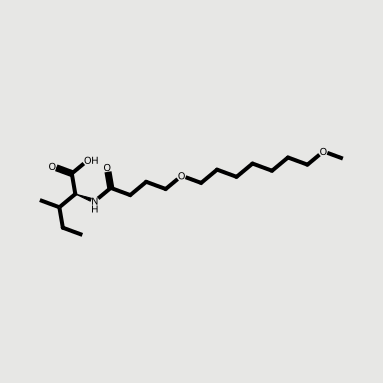 CCC(C)[C@H](NC(=O)CCCOCCCCCCCOC)C(=O)O